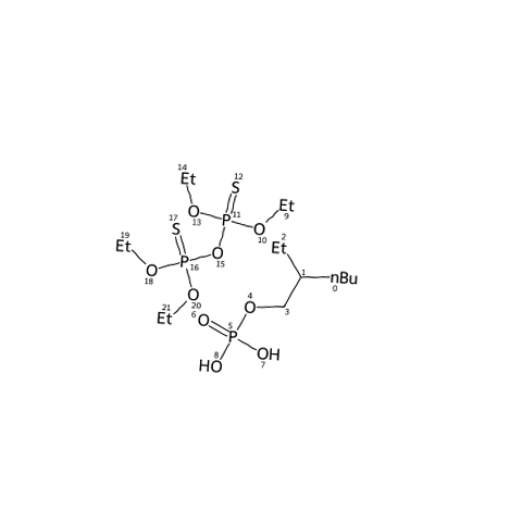 CCCCC(CC)COP(=O)(O)O.CCOP(=S)(OCC)OP(=S)(OCC)OCC